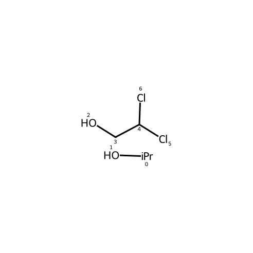 CC(C)O.OCC(Cl)Cl